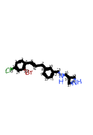 Clc1ccc(C=CCc2cccc(CNCC3CNC3)c2)c(Br)c1